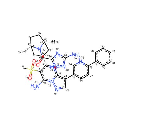 CS(=O)(=O)c1c([C@@H]2C[C@H]3CC[C@@H](C2)N3C(=O)c2nc(N)n[nH]2)nc2c(-c3ccc(-c4ccccc4)nc3)cnn2c1N